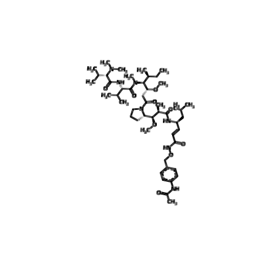 CC[C@H](C)[C@@H]([C@@H](CC(=O)N1CCC[C@H]1[C@H](OC)[C@@H](C)C(=O)N[C@H](/C=C/C(=O)NOCc1ccc(NC(C)=O)cc1)CC(C)C)OC)N(C)C(=O)[C@@H](NC(=O)[C@H](C(C)C)N(C)C)C(C)C